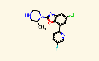 C[C@H]1CNCCN1c1nc2cc(Cl)cc(-c3ccc(F)cn3)c2o1